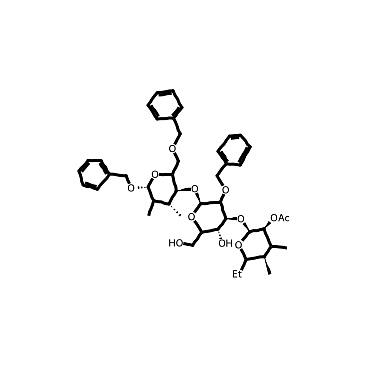 CCC1O[C@@H](O[C@@H]2C(OCc3ccccc3)[C@H](O[C@@H]3C(COCc4ccccc4)O[C@@H](OCc4ccccc4)C(C)[C@H]3C)OC(CO)[C@H]2O)[C@@H](OC(C)=O)C(C)[C@H]1C